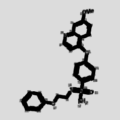 COc1ccc2c(Oc3ccc(S(N)(=O)=NCCOc4ccccc4)cc3)ccnc2c1